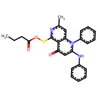 CCCC(=O)OSc1nc(C)cc2c1c(=O)cc(Nc1ccccc1)n2-c1ccccc1